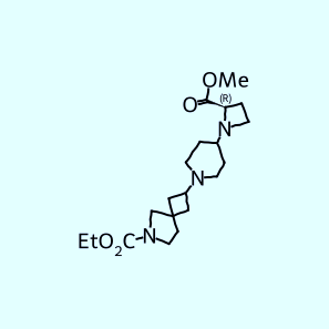 CCOC(=O)N1CCC2(CC(N3CCC(N4CC[C@@H]4C(=O)OC)CC3)C2)C1